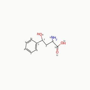 NC(CC(O)c1ccccc1)C(=O)O